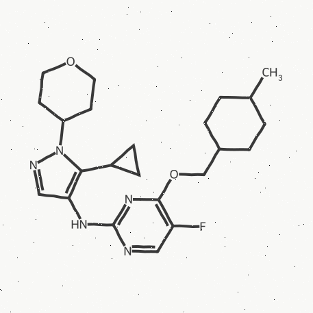 CC1CCC(COc2nc(Nc3cnn(C4CCOCC4)c3C3CC3)ncc2F)CC1